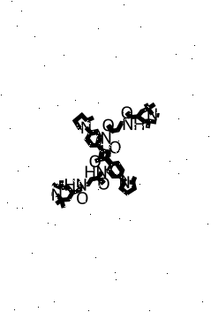 CC1CCCN1c1ccc(C2=C([O-])/C(=C3C=C/C(=[N+]4/CCCC4C)C=C/3NC(=O)CCNC(=O)C3CC(C)(C)N(C)C(C)(C)C3)C2=O)c(NC(=O)CCNC(=O)C2CC(C)(C)N(C)C(C)(C)C2)c1